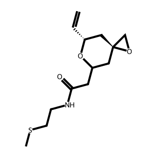 C=C[C@@H]1C[C@]2(CO2)CC(CC(=O)NCCSC)O1